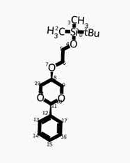 CC(C)(C)[Si](C)(C)OCCO[C@H]1CO[C@@H](c2ccccc2)OC1